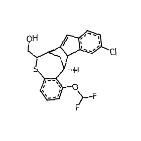 OCC1Sc2cccc(OC(F)F)c2[C@H]2CC1C1=Cc3ccc(Cl)cc3C12